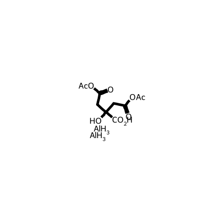 CC(=O)OC(=O)CC(O)(CC(=O)OC(C)=O)C(=O)O.[AlH3].[AlH3]